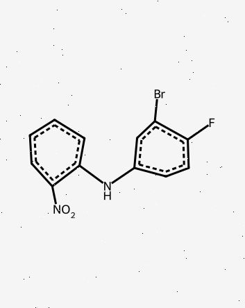 O=[N+]([O-])c1ccccc1Nc1ccc(F)c(Br)c1